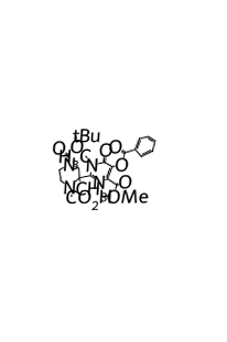 COC(=O)c1nc(C2(C)CN(C(=O)OC(C)(C)C)CCN2C(=O)O)n(C)c(=O)c1OC(=O)c1ccccc1